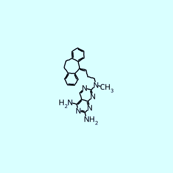 CN(CCC=C1c2ccccc2CCc2ccccc21)c1ncc2c(N)nc(N)nc2n1